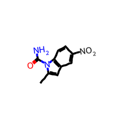 Cc1cc2cc([N+](=O)[O-])ccc2n1C(N)=O